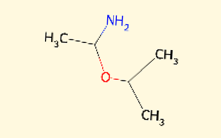 CC(C)OC(C)N